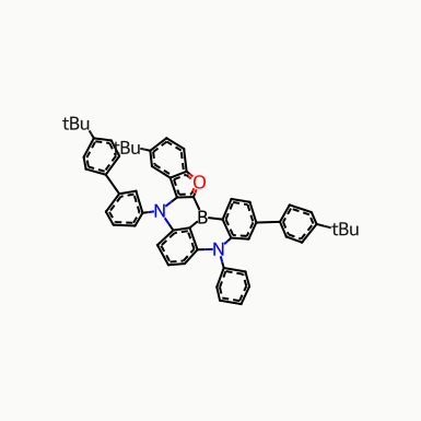 CC(C)(C)c1ccc(-c2cccc(N3c4cccc5c4B(c4ccc(-c6ccc(C(C)(C)C)cc6)cc4N5c4ccccc4)c4oc5ccc(C(C)(C)C)cc5c43)c2)cc1